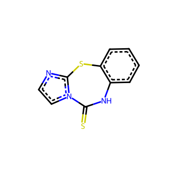 S=C1Nc2ccccc2Sc2nccn21